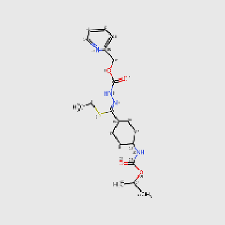 CCS/C(=N\NC(=O)OCc1ccccn1)C1CCC(NC(=O)OC(C)C)CC1